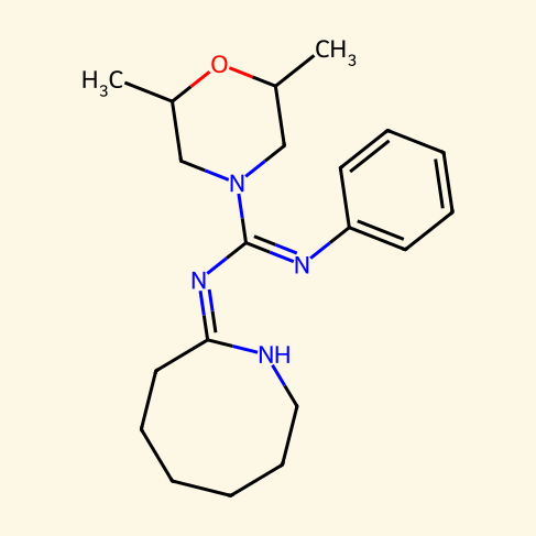 CC1CN(C(N=C2CCCCCCN2)=Nc2ccccc2)CC(C)O1